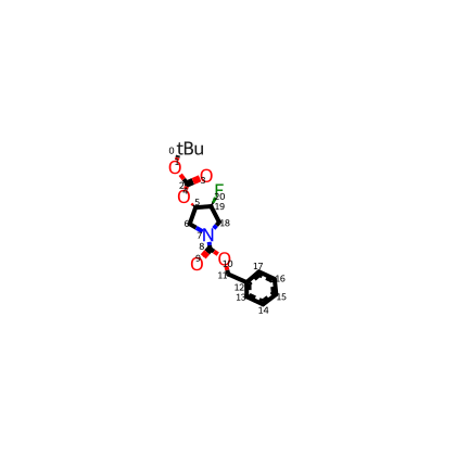 CC(C)(C)OC(=O)O[C@H]1CN(C(=O)OCc2ccccc2)C[C@@H]1F